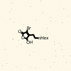 CCCCCCCCC1=C(Br)C(=O)OC1O